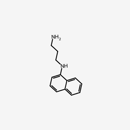 NCCCNc1cccc2ccccc12